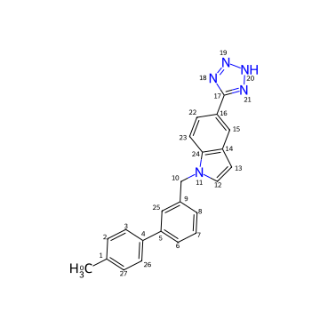 Cc1ccc(-c2cccc(Cn3ccc4cc(-c5nn[nH]n5)ccc43)c2)cc1